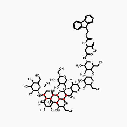 CC1C(O)[C@H](O[C@@H]2OC(CO)[C@H](O)C(O)[C@@H]2O)[C@H](CO)O[C@H]1O[C@@H]1C(O)[C@H](O)C(CO)O[C@@H]1OCC1O[C@@H](O[C@@H]2C(CO)O[C@@H](O[C@@H]3C(CO)O[C@@H](NC(=O)CC(NC(=O)OCC4c5ccccc5-c5ccccc54)C(=O)O)[C@@H](C)C3O)[C@@H](C)C2O)[C@H](O)C(O[C@H]2O[C@H](CO)[C@@H](O)C(O)C2O[C@@H]2OC(CO)[C@@H](O[C@@H]3OC(CO)C(O)[C@@H](O)[C@@H]3O)C(O)[C@@H]2C)[C@@H]1O